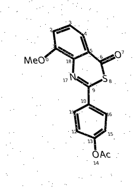 COc1cccc2c(=O)sc(-c3ccc(OC(C)=O)cc3)nc12